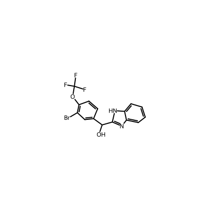 OC(c1ccc(OC(F)(F)F)c(Br)c1)c1nc2ccccc2[nH]1